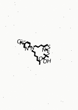 [C-]#[N+]c1ccc(N(CCCCCCC)CCCc2csc(SC(C)(C)C(=O)O)n2)nc1